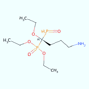 CCO[C@](CCCN)([PH2]=O)P(=O)(OCC)OCC